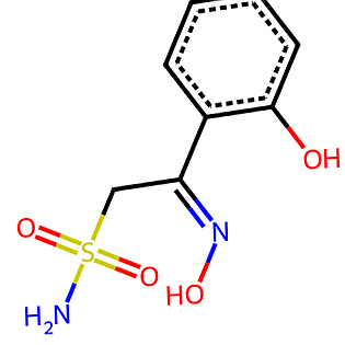 NS(=O)(=O)C/C(=N\O)c1ccccc1O